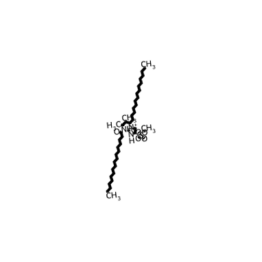 CCCCCCCCCCCCCCCCCC(=O)NC(C)C(C)C(CCCCCCCCCCCCCCCC)[N+]1=CNCC1.COS(=O)(=O)[O-]